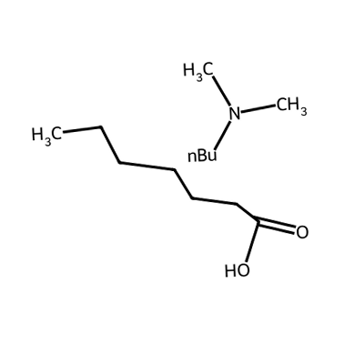 CCCCCCC(=O)O.CCCCN(C)C